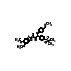 C/N=C/c1ccc(OC(C(=O)Nc2nc3cc(OC)c(OC)cc3s2)c2ccc(S(=O)(=O)C(C)C)cc2)cc1